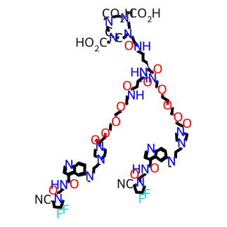 CN(CCCN1CCN(C(=O)COCCOCCOCCNC(=O)CCC(=O)N[C@@H](CCCCNC(=O)CN2CCN(CC(=O)O)CCN(CC(=O)O)CCN(CC(=O)O)CC2)C(=O)NCCOCCOCCOCC(=O)N2CCN(CCCN(C)c3ccc4nccc(C(=O)NCC(=O)N5CC(F)(F)C[C@H]5C#N)c4c3)CC2)CC1)c1ccc2nccc(C(=O)NCC(=O)N3CC(F)(F)C[C@H]3C#N)c2c1